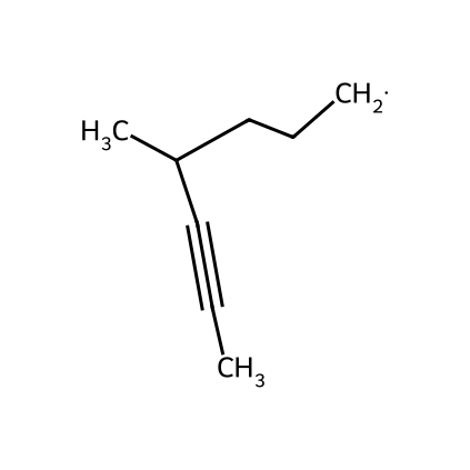 [CH2]CCC(C)C#CC